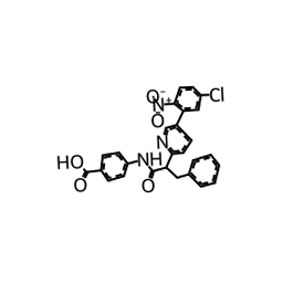 O=C(O)c1ccc(NC(=O)C(Cc2ccccc2)c2ccc(-c3cc(Cl)ccc3[N+](=O)[O-])cn2)cc1